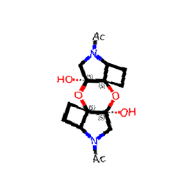 CC(=O)N1C[C@]2(O)O[C@@]34CCC3N(C(C)=O)C[C@]4(O)O[C@]23CCC13